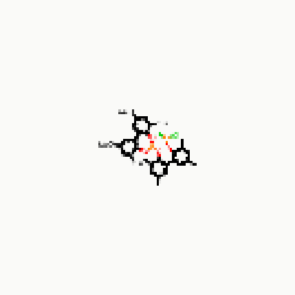 COc1cc(C(C)(C)C)c2op(Oc3c(C)cc(C)cc3-c3cc(C)cc(C)c3OP(Cl)Cl)oc3c(C(C)(C)C)cc(OC)cc3c2c1